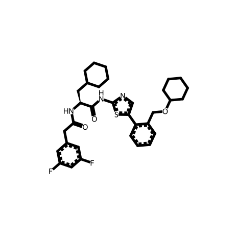 O=C(Cc1cc(F)cc(F)c1)N[C@@H](CC1CCCCC1)C(=O)Nc1ncc(-c2ccccc2COC2CCCCC2)s1